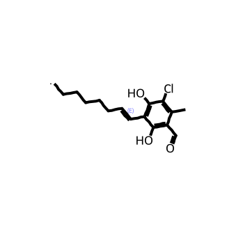 [CH2]CCCCC/C=C/c1c(O)c(Cl)c(C)c(C=O)c1O